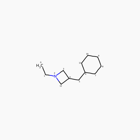 CCN1CC(CC2CCCCC2)C1